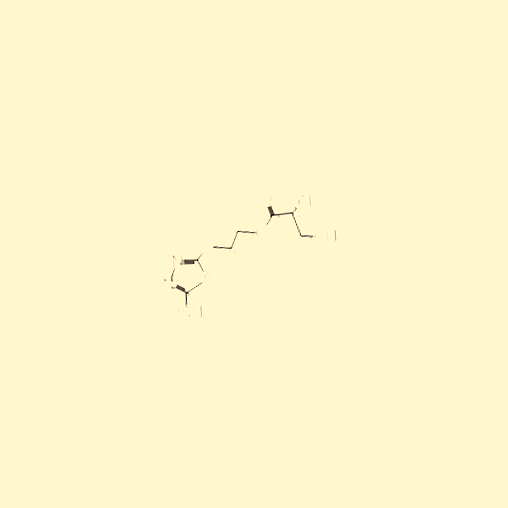 CCC(C)C(=O)OCCSc1nnc(S)s1